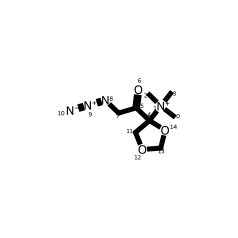 C[N+](C)(C)C1(C(=O)CN=[N+]=[N-])COCO1